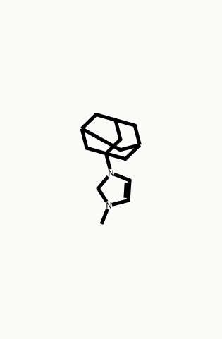 CN1C=CN(C23CC4CC(CC(C4)C2)C3)C1